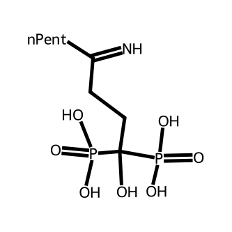 CCCCCC(=N)CCC(O)(P(=O)(O)O)P(=O)(O)O